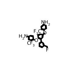 Nc1ccc(Oc2ccc(Oc3ccc(N)cc3C(F)(F)F)c(-c3cccc(CF)c3)c2)c(C(F)(F)F)c1